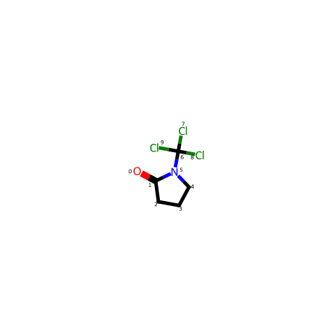 O=C1CCCN1C(Cl)(Cl)Cl